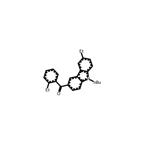 CCCCn1c2ccc(CC)cc2c2cc(C(=O)c3ccccc3CC)ccc21